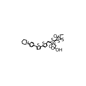 CCN1C(=O)/C(=c2\s/c(=C/c3ccc(-c4ccc(-c5ccc(N6CCCCC6)cc5)s4)s3)c(=O)n2CC(=O)O)SC1=S